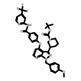 COc1ccc(Cn2nc(C3CCCN(C(=O)OC(C)(C)C)C3)c3c(Oc4ccc(C(=O)Nc5cc(C(F)(F)F)ccn5)cc4)ccnc32)cc1